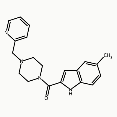 Cc1ccc2[nH]c(C(=O)N3CCN(Cc4ccccn4)CC3)cc2c1